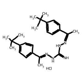 CC(=NNC(=N)NN=C(C)c1ccc(C(C)(C)C)cc1)c1ccc(C(C)(C)C)cc1.Cl